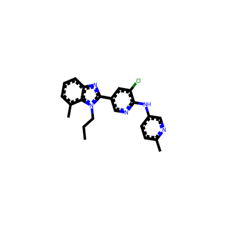 CCCn1c(-c2cnc(Nc3ccc(C)nc3)c(Cl)c2)nc2cccc(C)c21